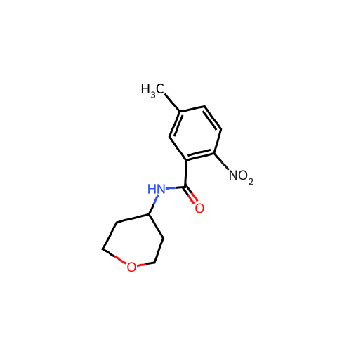 Cc1ccc([N+](=O)[O-])c(C(=O)NC2CCOCC2)c1